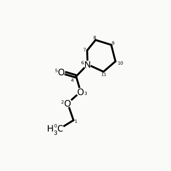 CCOOC(=O)N1CCCCC1